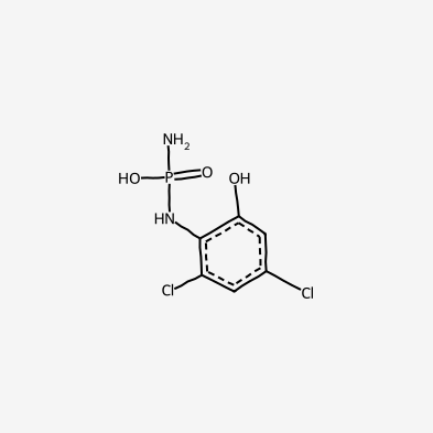 NP(=O)(O)Nc1c(O)cc(Cl)cc1Cl